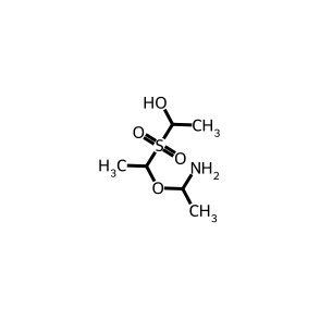 CC(N)OC(C)S(=O)(=O)C(C)O